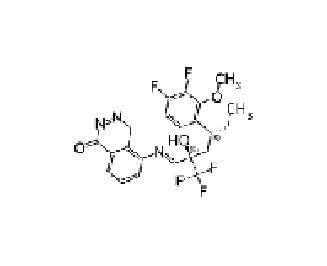 CC[C@H](C[C@@](O)(C=Nc1cccc2c1CN=NC2=O)C(F)(F)F)c1ccc(F)c(F)c1OC